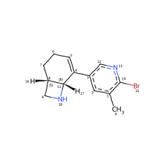 Cc1cc(C2=CCC[C@H]3CN[C@@H]23)cnc1Br